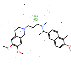 COc1cc2c(cc1OC)CN(CCCN(C)C(C)c1ccc3c(C)c(OC)ccc3c1)CC2.Cl.Cl